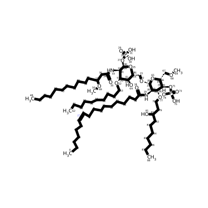 CCCCCC/C=C\CCCCCCCCCC(=O)N[C@H]1[C@H](OC[C@H]2O[C@H](OP(=O)(O)O)[C@H](NC(=O)CC(CCCCCCCCCCC)OC)[C@@H](OCCCCCCCCCC)[C@@H]2O)O[C@H](COC)[C@@H](OP(=O)(O)O)[C@@H]1OCCC(O)CCCCCCC